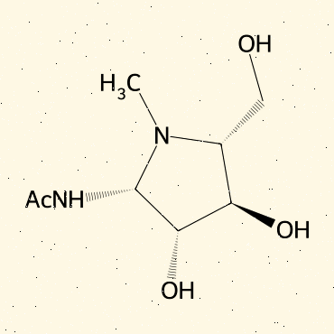 CC(=O)N[C@H]1[C@@H](O)[C@H](O)[C@@H](CO)N1C